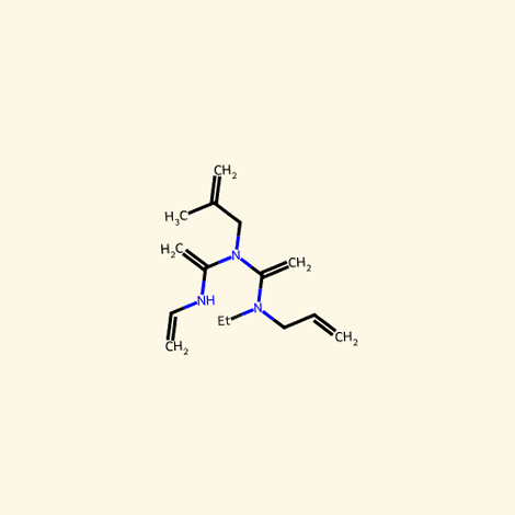 C=CCN(CC)C(=C)N(CC(=C)C)C(=C)NC=C